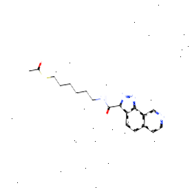 CC(=O)SCCCCCCNC(=O)c1n[nH]c2c1ccc1ccncc12